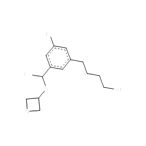 CCc1cc(CCCCN)cc(C(NC2CNC2)C(F)(F)F)c1